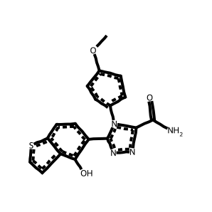 COc1ccc(-n2c(C(N)=O)nnc2-c2ccc3sccc3c2O)cc1